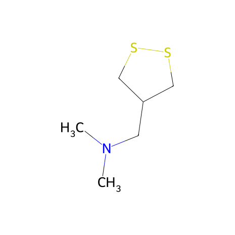 CN(C)CC1CSSC1